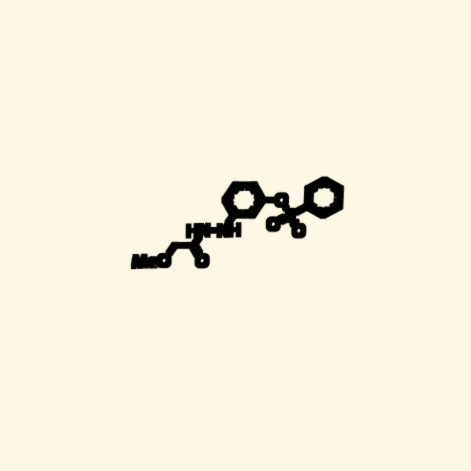 COCC(=O)NNc1cccc(OS(=O)(=O)c2ccccc2)c1